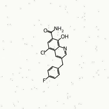 NC(=O)c1cc(Cl)c2cc(Cc3ccc(F)cc3)cnc2c1O